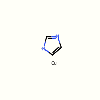 C1=CN=C[N]1.[Cu]